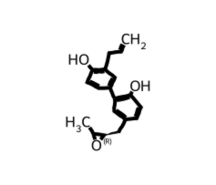 C=CCc1cc(-c2cc(C[C@H]3OC3C)ccc2O)ccc1O